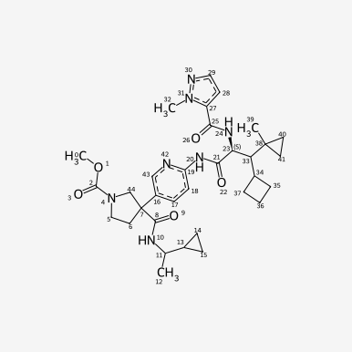 COC(=O)N1CCC(C(=O)NC(C)C2CC2)(c2ccc(NC(=O)[C@@H](NC(=O)c3ccnn3C)C(C3CCC3)C3(C)CC3)nc2)C1